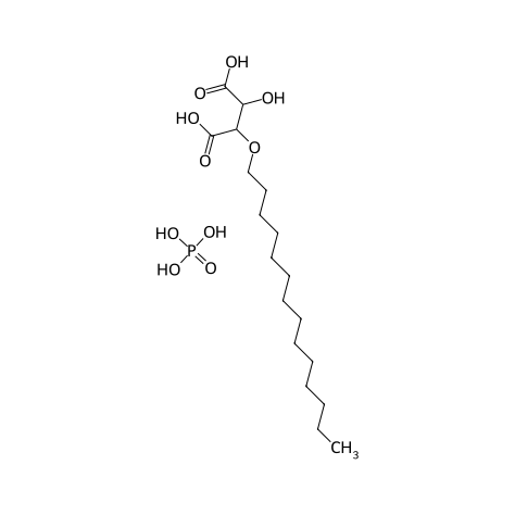 CCCCCCCCCCCCCCOC(C(=O)O)C(O)C(=O)O.O=P(O)(O)O